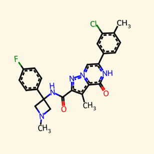 Cc1ccc(-c2cn3nc(C(=O)NC4(c5ccc(F)cc5)CN(C)C4)c(C)c3c(=O)[nH]2)cc1Cl